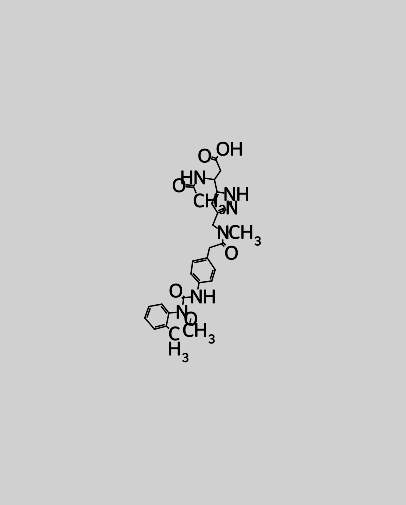 CON(C(=O)Nc1ccc(CC(=O)N(C)Cc2cc(C(CC(=O)O)NC(C)=O)[nH]n2)cc1)c1ccccc1C